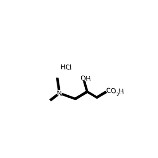 CN(C)CC(O)CC(=O)O.Cl